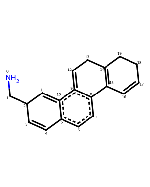 NCC1C=Cc2ccc3c(c2=C1)=CCC1=C3C=CCC1